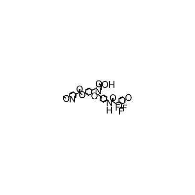 COc1ccc(CC(=O)Nc2ccc(C(=O)N(CC(=O)O)Cc3ccc(OC(=O)c4ccc(OC)nc4)cc3)cc2)c(C(F)(F)F)c1